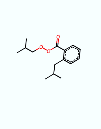 CC(C)COOC(=O)c1ccccc1CC(C)C